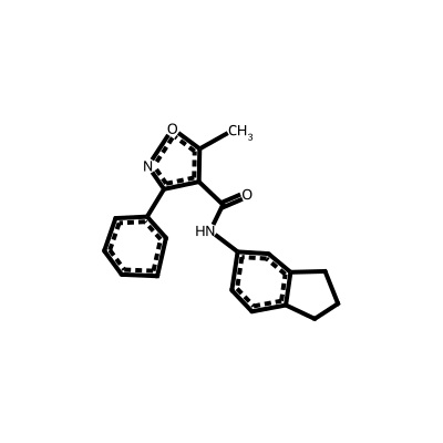 Cc1onc(-c2ccccc2)c1C(=O)Nc1ccc2c(c1)CCC2